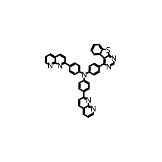 c1cnc2nc(-c3ccc(N(c4ccc(-c5ccc6cccnc6n5)cc4)c4ccc(-c5ncnc6sc7ccccc7c56)cc4)cc3)ccc2c1